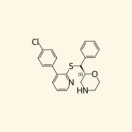 Clc1ccc(-c2cccnc2SC(c2ccccc2)[C@@H]2CNCCO2)cc1